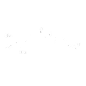 CC(C)(C)c1cc(/C=C/C(=O)COc2ccc(C(=O)O)cc2)cc(C(C)(C)C)c1O